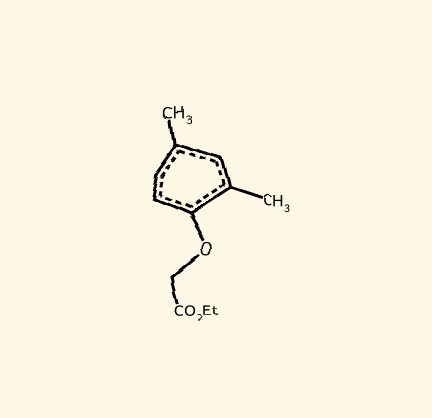 CCOC(=O)COc1ccc(C)cc1C